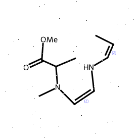 C/C=C\N/C=C\N(C)C(C)C(=O)OC